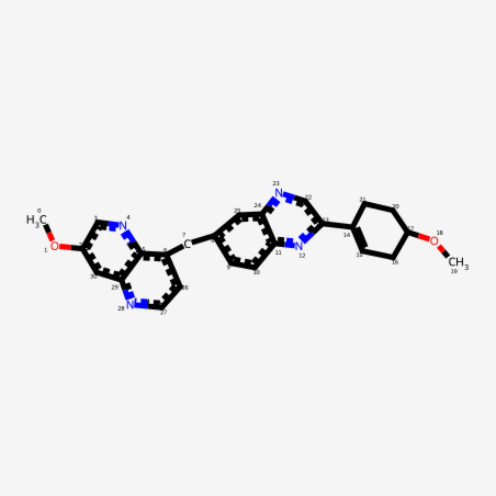 COc1cnc2c(Cc3ccc4nc(C5=CCC(OC)CC5)cnc4c3)ccnc2c1